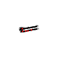 CCC=CCC=CCC=CCC=CCC=CCC=CCCC(=O)NC(C)C(=O)O[C@H](C)[C@H](NC(=O)CCC=CCC=CCC=CCC=CCC=CCC=CCC)C(=O)OC